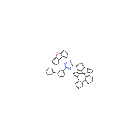 c1ccc(-c2cccc(-c3nc(-c4ccc5c(c4)C4(c6ccccc6-c6ccccc6-c6ccccc64)c4ccccc4-5)nc(-c4cccc5oc6ccccc6c45)n3)c2)cc1